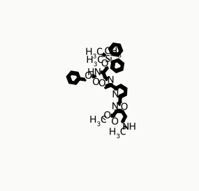 CNCCc1oc(-c2cccc(-c3coc(C(CO[Si](c4ccccc4)(c4ccccc4)C(C)(C)C)NC(=O)OCc4ccccc4)n3)n2)nc1C(=O)OC